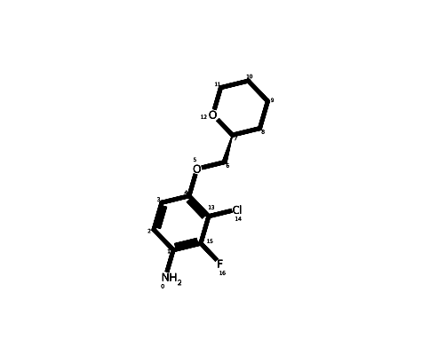 Nc1ccc(OC[C@@H]2CCCCO2)c(Cl)c1F